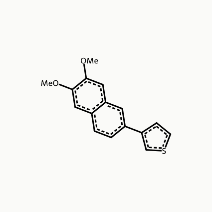 COc1cc2ccc(-c3ccsc3)cc2cc1OC